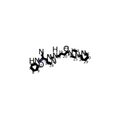 N#C/C(=C1\Nc2ccccc2O1)c1ccnc(NCCCC(=O)N2CCN(c3ccccn3)CC2)n1